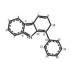 C1=CC2=c3ccccc3=NC2=C(c2ccccc2)C1